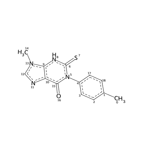 Cc1ccc(-n2c(=S)[nH]c3c(ncn3C)c2=O)cc1